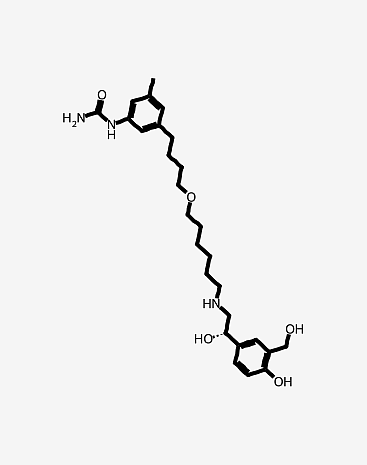 Cc1cc(CCCCOCCCCCCNC[C@@H](O)c2ccc(O)c(CO)c2)cc(NC(N)=O)c1